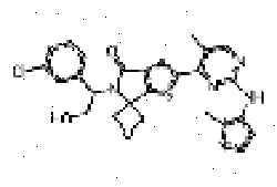 Cc1cnc(Nc2ccnn2C)nc1-c1cc2c(s1)C1(COC1)N(C(CO)c1cccc(Cl)c1)C2=O